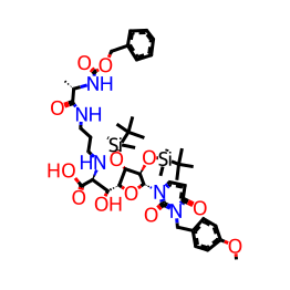 COc1ccc(Cn2c(=O)ccn([C@@H]3O[C@H](C(O)[C@H](NCCCNC(=O)[C@H](C)NC(=O)OCc4ccccc4)C(=O)O)[C@@H](O[Si](C)(C)C(C)(C)C)[C@H]3O[Si](C)(C)C(C)(C)C)c2=O)cc1